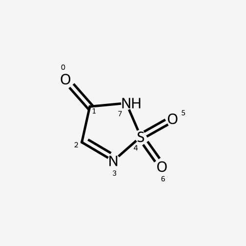 O=C1C=NS(=O)(=O)N1